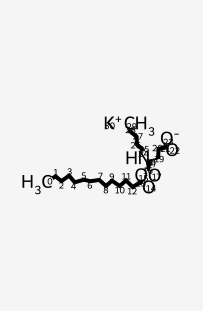 CCCCCCCCCCCCCC(=O)OC(=O)[C@H](CCC(=O)[O-])NCCCCC.[K+]